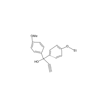 C#CC(O)(c1ccc(OC)cc1)c1ccc(OCC)cc1